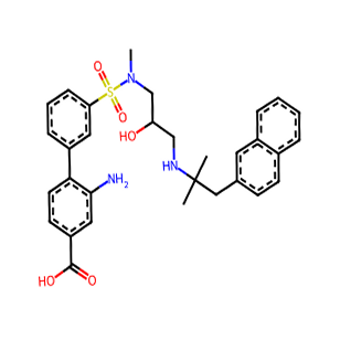 CN(CC(O)CNC(C)(C)Cc1ccc2ccccc2c1)S(=O)(=O)c1cccc(-c2ccc(C(=O)O)cc2N)c1